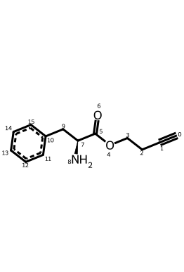 C#CCCOC(=O)[C@@H](N)Cc1ccccc1